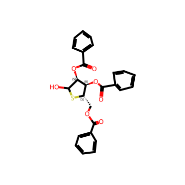 O=C(OC[C@@H]1SC(O)[C@@H](OC(=O)c2ccccc2)[C@H]1OC(=O)c1ccccc1)c1ccccc1